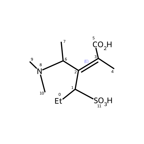 CCC(/C(=C(\C)C(=O)O)C(C)N(C)C)S(=O)(=O)O